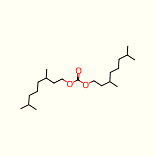 CC(C)CCCC(C)CCOC(=O)OCCC(C)CCCC(C)C